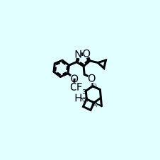 FC(F)(F)Oc1ccccc1-c1noc(C2CC2)c1CO[C@@H]1CC2C[C@]23CC[C@H]3C1